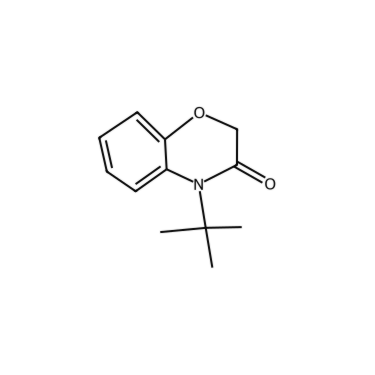 CC(C)(C)N1C(=O)COc2ccccc21